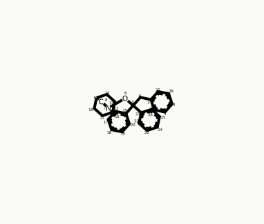 c1ccc(CC(ON2CC3CCC2CC3)(c2ccccc2)c2ccccc2)cc1